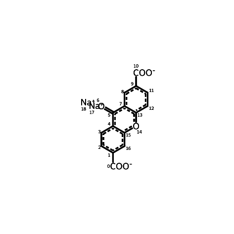 O=C([O-])c1ccc2c(=O)c3cc(C(=O)[O-])ccc3oc2c1.[Na+].[Na+]